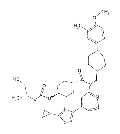 COc1ccc([C@H]2CC[C@H](CN(c3cc(-c4coc(C5CC5)n4)ccn3)C(=O)[C@H]3CC[C@H](OC(=O)N[C@H](C)CO)CC3)CC2)nc1C